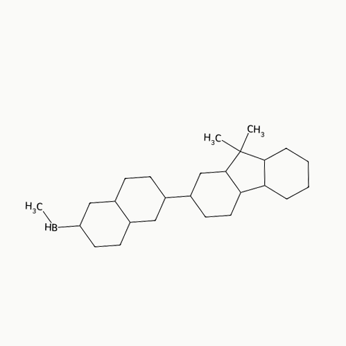 CBC1CCC2CC(C3CCC4C5CCCCC5C(C)(C)C4C3)CCC2C1